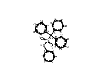 O=S(=O)(Oc1ccccc1)C(c1ccccc1)(c1ccccc1)c1ccccc1